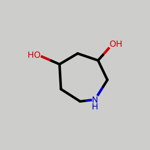 OC1CCNCC(O)C1